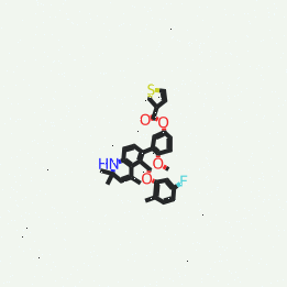 COc1ccc(OC(=O)C2C=CSC2)cc1-c1ccc2c(c1COc1cc(F)ccc1C)C(C)=CC(C)(C)N2